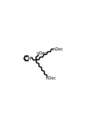 CCCCCCCCCCCCCCCCCCC(CCCCCCCCCCCC)(CCCCCCCCCCCCCCCCCC)CC[n+]1ccccc1